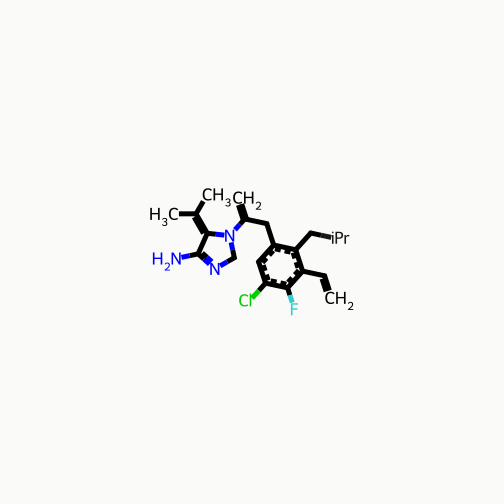 C=Cc1c(F)c(Cl)cc(CC(=C)N2CN=C(N)C2=C(C)C)c1CC(C)C